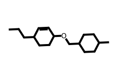 CCCC1C=CC(OCC2CCC(C)CC2)CC1